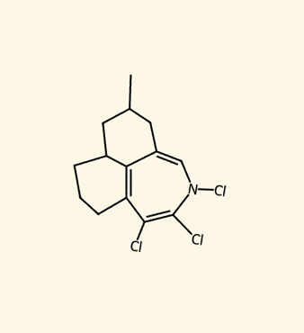 CC1CC2=CN(Cl)C(Cl)=C(Cl)C3=C2C(CCC3)C1